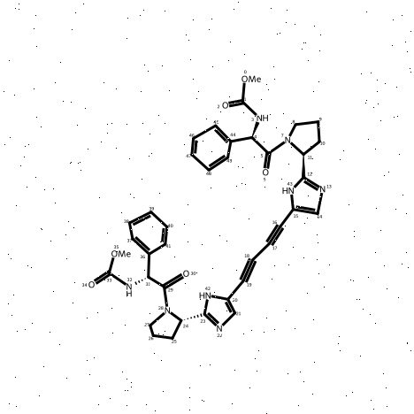 COC(=O)N[C@@H](C(=O)N1CCC[C@H]1c1ncc(C#CC#Cc2cnc([C@@H]3CCCN3C(=O)[C@H](NC(=O)OC)c3ccccc3)[nH]2)[nH]1)c1ccccc1